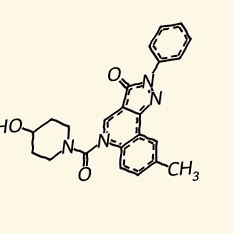 Cc1ccc2c(c1)c1nn(-c3ccccc3)c(=O)c-1cn2C(=O)N1CCC(O)CC1